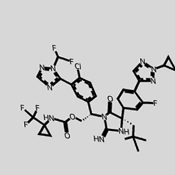 CC(C)(C)C[C@]1(C2C=C(F)C(c3cnn(C4CC4)n3)=CC2)NC(=N)N([C@H](COC(=O)NC2(C(F)(F)F)CC2)c2ccc(Cl)c(-c3ncnn3C(F)F)c2)C1=O